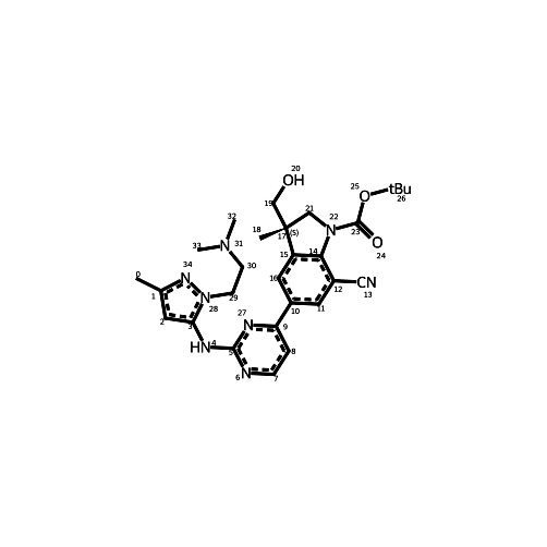 Cc1cc(Nc2nccc(-c3cc(C#N)c4c(c3)[C@](C)(CO)CN4C(=O)OC(C)(C)C)n2)n(CCN(C)C)n1